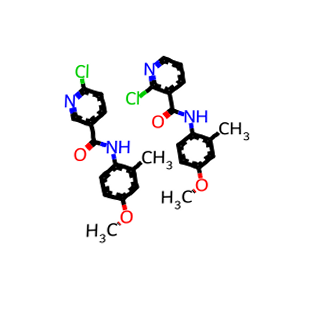 COc1ccc(NC(=O)c2ccc(Cl)nc2)c(C)c1.COc1ccc(NC(=O)c2cccnc2Cl)c(C)c1